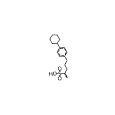 C=C(CCCc1ccc(C2CCCCC2)cc1)S(=O)(=O)O